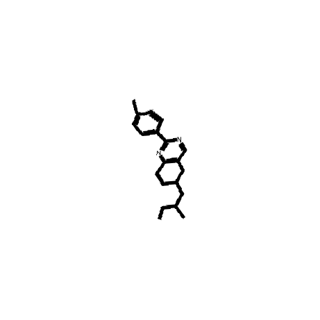 CCC(C)CC1CCc2nc(-c3ccc(C)cc3)ncc2C1